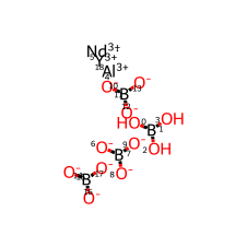 OB(O)O.[Al+3].[Nd+3].[O-]B([O-])[O-].[O-]B([O-])[O-].[O-]B([O-])[O-].[Y+3]